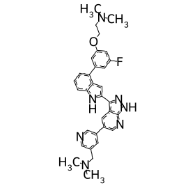 CN(C)CCOc1cc(F)cc(-c2cccc3[nH]c(-c4n[nH]c5ncc(-c6cncc(CN(C)C)c6)cc45)cc23)c1